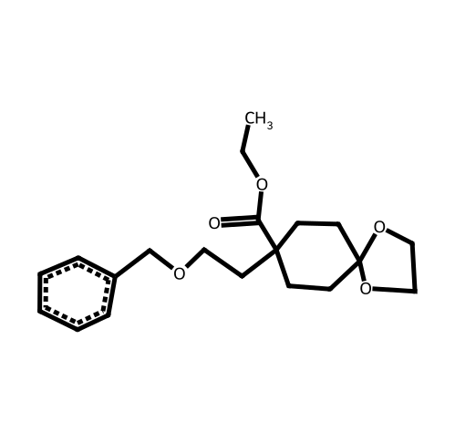 CCOC(=O)C1(CCOCc2ccccc2)CCC2(CC1)OCCO2